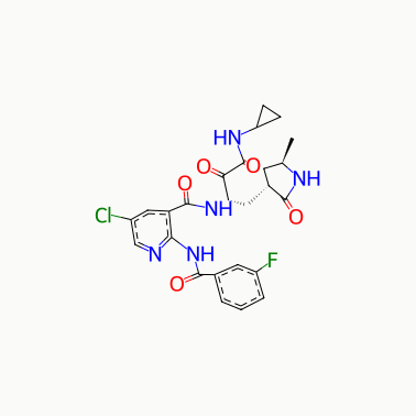 C[C@@H]1C[C@@H](C[C@H](NC(=O)c2cc(Cl)cnc2NC(=O)c2cccc(F)c2)C(=O)C(=O)NC2CC2)C(=O)N1